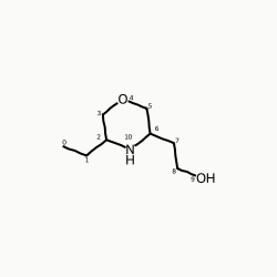 CCC1COCC(CCO)N1